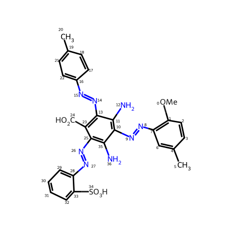 COc1ccc(C)cc1/N=N/c1c(N)c(/N=N/c2ccc(C)cc2)c(C(=O)O)c(/N=N/c2ccccc2S(=O)(=O)O)c1N